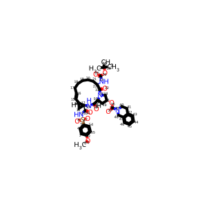 COc1ccc(S(=O)(=O)NC(=O)[C@@]23C[C@H]2/C=C/CCCCC[C@H](NC(=O)OC(C)(C)C)C(=O)N2C[C@H](OC(=O)N4CCc5ccccc5C4)C[C@H]2C(=O)N3)cc1